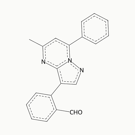 Cc1cc(-c2ccccc2)n2ncc(-c3ccccc3C=O)c2n1